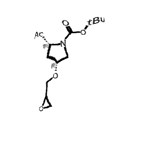 CC(=O)[C@H]1C[C@@H](OCC2CO2)CN1C(=O)OC(C)(C)C